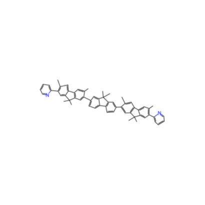 Cc1cc2c(cc1-c1ccc3c(c1)C(C)(C)c1cc(-c4cc5c(cc4C)-c4cc(C)c(-c6ccccn6)cc4C5(C)C)ccc1-3)C(C)(C)c1cc(-c3ccccn3)c(C)cc1-2